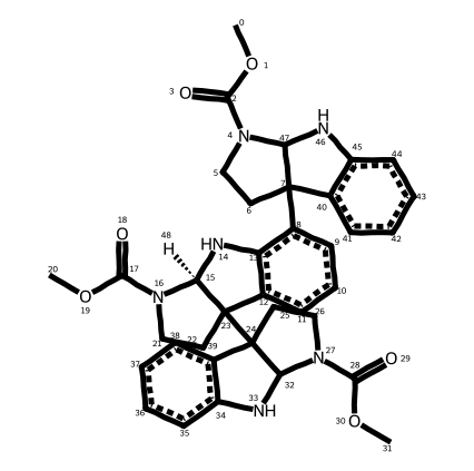 COC(=O)N1CCC2(c3cccc4c3N[C@@H]3N(C(=O)OC)CCC43C34CCN(C(=O)OC)C3Nc3ccccc34)c3ccccc3NC12